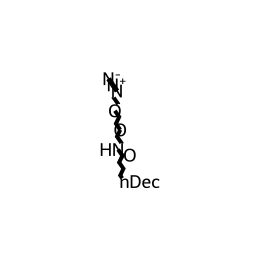 CCCCCCCCCCCCCC(=O)NCCOCCOCCN=[N+]=[N-]